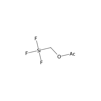 CC(=O)OC[Si](F)(F)F